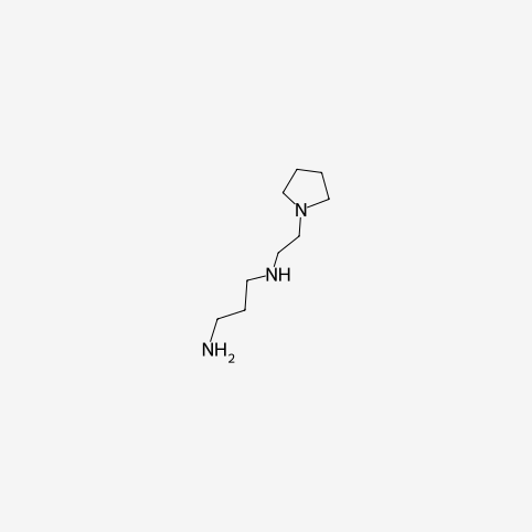 NCCCNCCN1CCCC1